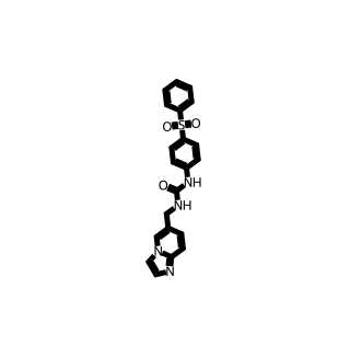 O=C(NCc1ccc2nccn2c1)Nc1ccc(S(=O)(=O)c2ccccc2)cc1